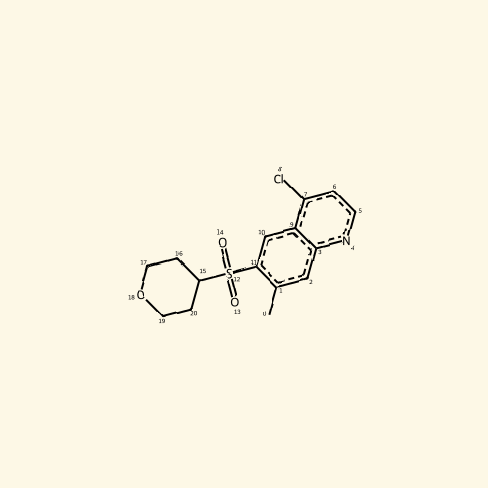 Cc1cc2nccc(Cl)c2cc1S(=O)(=O)C1CCOCC1